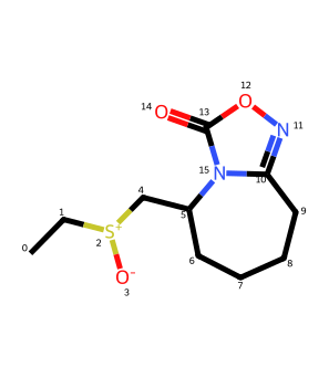 CC[S+]([O-])CC1CCCCc2noc(=O)n21